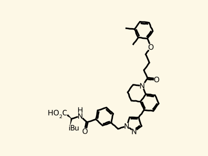 CC[C@H](C)[C@H](NC(=O)c1cccc(Cn2cc(-c3cccc4c3CCCN4C(=O)CCCOc3cccc(C)c3C)cn2)c1)C(=O)O